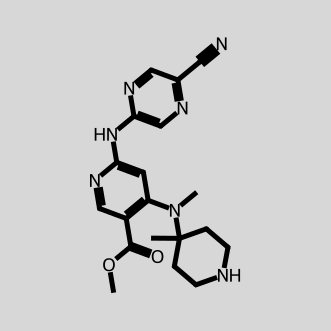 COC(=O)c1cnc(Nc2cnc(C#N)cn2)cc1N(C)C1(C)CCNCC1